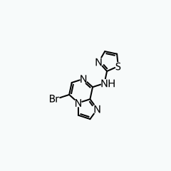 Brc1cnc(Nc2nccs2)c2nccn12